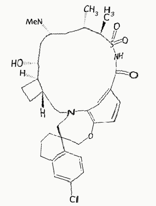 CN[C@H]1C[C@@H](O)[C@@H]2CC[C@H]2CN2C[C@@]3(CCCc4cc(Cl)ccc43)COc3ccc(cc32)C(=O)NS(=O)(=O)[C@H](C)[C@@H](C)C1